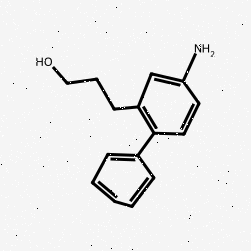 Nc1ccc(-c2ccccc2)c(CCCO)c1